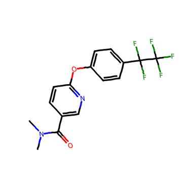 CN(C)C(=O)c1ccc(Oc2ccc(C(F)(F)C(F)(F)F)cc2)nc1